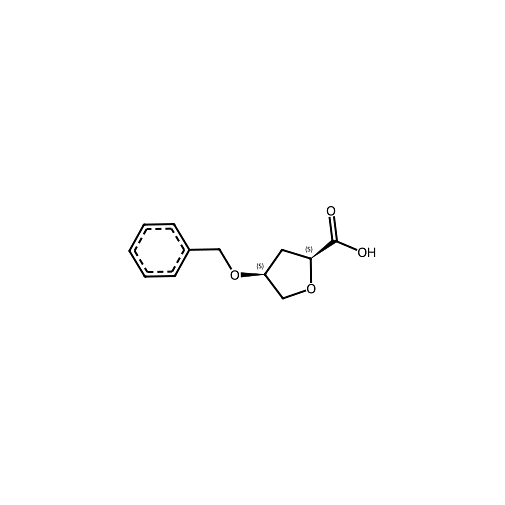 O=C(O)[C@@H]1C[C@H](OCc2ccccc2)CO1